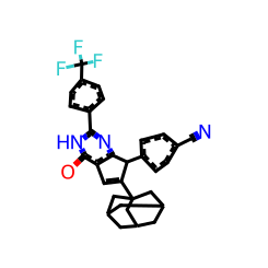 N#Cc1ccc(C2C(C34CC5CC(CC(C5)C3)C4)=Cc3c2nc(-c2ccc(C(F)(F)F)cc2)[nH]c3=O)cc1